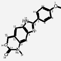 COc1ccc(-c2nc3cc4c(cc3[nH]2)COC(=O)N4C)cc1